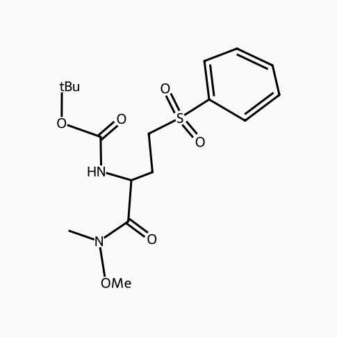 CON(C)C(=O)C(CCS(=O)(=O)c1ccccc1)NC(=O)OC(C)(C)C